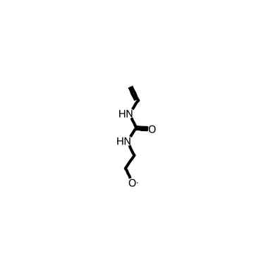 C=CNC(=O)NCC[O]